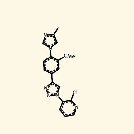 COc1cc(-c2cn(-c3cccnc3Cl)nn2)ccc1-n1cnc(C)c1